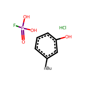 CCCCc1cccc(O)c1.Cl.O=P(O)(O)F